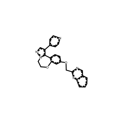 c1ccc2nc(COc3ccc4c(c3)OCCn3ncc(-c5ccncc5)c3-4)ncc2c1